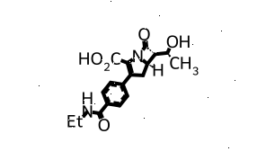 CCNC(=O)c1ccc(C2=C(C(=O)O)N3C(=O)[C@H]([C@@H](C)O)[C@H]3C2)cc1